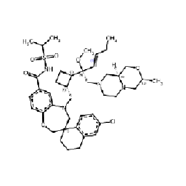 CC/C=C/[C@](CN1CCN2C[C@H](C)OC[C@@H]2C1)(OC)[C@@H]1CC[C@H]1CN1C[C@@]2(CCCc3cc(Cl)ccc32)COc2ccc(C(=O)NS(=O)(=O)C(C)C)cc21